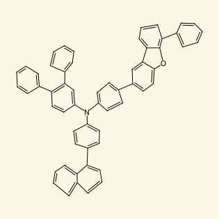 c1ccc(-c2ccc(N(c3ccc(-c4ccc5oc6c(-c7ccccc7)cccc6c5c4)cc3)c3ccc(-c4cccc5ccccc45)cc3)cc2-c2ccccc2)cc1